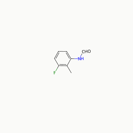 Cc1c(F)cccc1NC=O